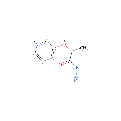 CC(Oc1cccnc1)C(=O)NN